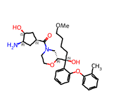 COCCCC[C@](O)(c1ccccc1Oc1ccccc1C)[C@H]1CN(C(=O)[C@H]2C[C@@H](N)[C@@H](O)C2)CCO1